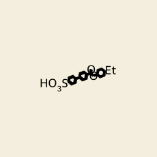 CCC1CCC(OC(=O)c2ccc(-c3ccc(S(=O)(=O)O)cc3)cc2)CC1